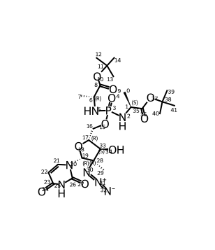 C[C@H](NP(=O)(N[C@H](C)C(=O)OC(C)(C)C)OC[C@H]1O[C@@H](n2ccc(=O)[nH]c2=O)[C@](C)(N=[N+]=[N-])[C@@H]1O)C(=O)OC(C)(C)C